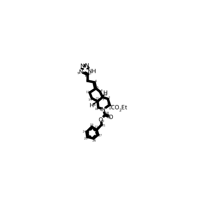 CCOC(=O)[C@@H]1C[C@H]2C/C(=C/Cc3nnn[nH]3)CC[C@H]2CN1C(=O)OCc1ccccc1